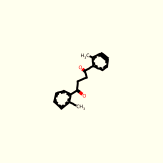 Cc1c#cccc1C(=O)CCC(=O)c1ccccc1C